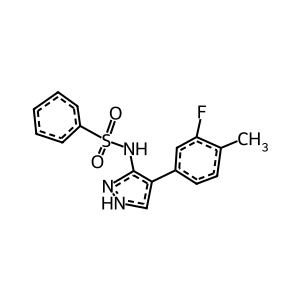 Cc1ccc(-c2c[nH]nc2NS(=O)(=O)c2ccccc2)cc1F